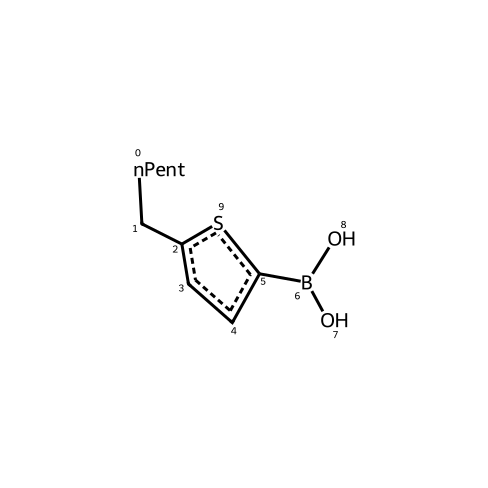 CCCCCCc1ccc(B(O)O)s1